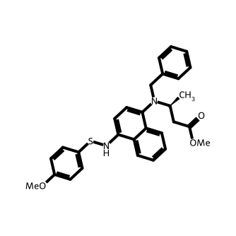 COC(=O)C[C@H](C)N(Cc1ccccc1)c1ccc(NSc2ccc(OC)cc2)c2ccccc12